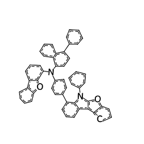 c1ccc(-c2ccc(N(c3ccc(-c4cccc5c6c7ccccc7oc6n(-c6ccccc6)c45)cc3)c3cccc4c3oc3ccccc34)c3ccccc23)cc1